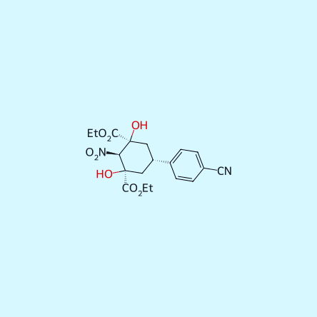 CCOC(=O)[C@]1(O)C[C@H](c2ccc(C#N)cc2)C[C@](O)(C(=O)OCC)[C@H]1[N+](=O)[O-]